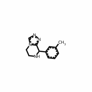 Cc1cccc(C2NCCn3cnnc32)c1